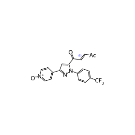 CC(=O)/C=C/C(=O)c1cc(-c2cc[n+]([O-])cc2)nn1-c1ccc(C(F)(F)F)cc1